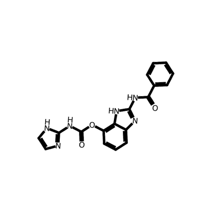 O=C(Nc1ncc[nH]1)Oc1cccc2nc(NC(=O)c3ccccc3)[nH]c12